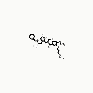 COCCCOc1cc(C(=O)N(CC2CNCC2CN(C)C(=O)CC2CCCCC2)C(C)C)ccc1OC